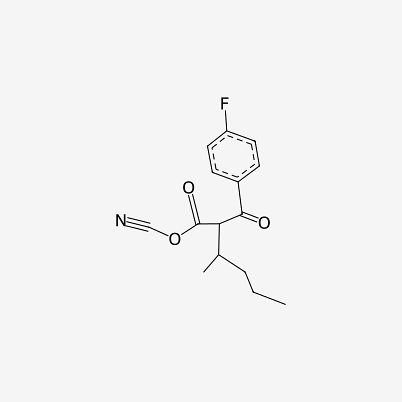 CCCC(C)C(C(=O)OC#N)C(=O)c1ccc(F)cc1